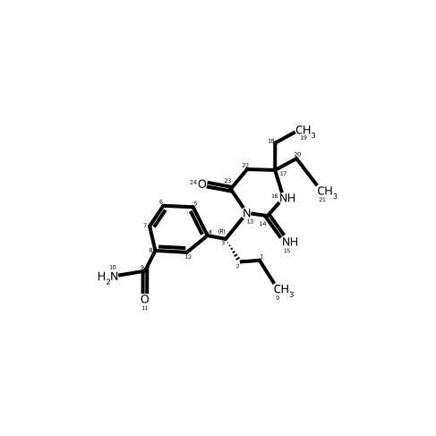 CCC[C@H](c1cccc(C(N)=O)c1)N1C(=N)NC(CC)(CC)CC1=O